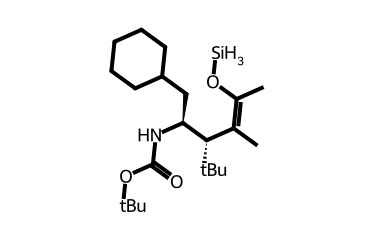 CC(O[SiH3])=C(C)[C@@H]([C@H](CC1CCCCC1)NC(=O)OC(C)(C)C)C(C)(C)C